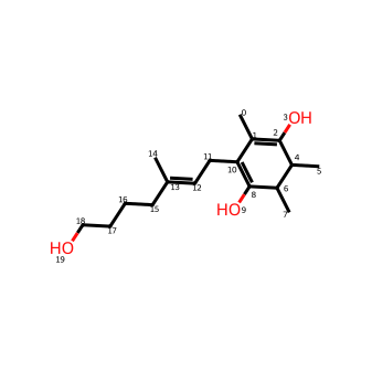 CC1=C(O)C(C)C(C)C(O)=C1C/C=C(\C)CCCCO